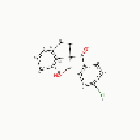 O=C(c1ccc(Cl)cc1)C1(CO)CCc2ccccc21